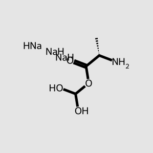 C[C@H](N)C(=O)OC(O)O.[NaH].[NaH].[NaH]